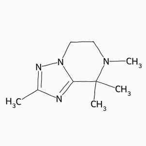 Cc1nc2n(n1)CCN(C)C2(C)C